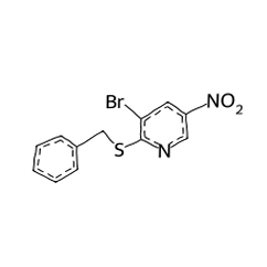 O=[N+]([O-])c1cnc(SCc2ccccc2)c(Br)c1